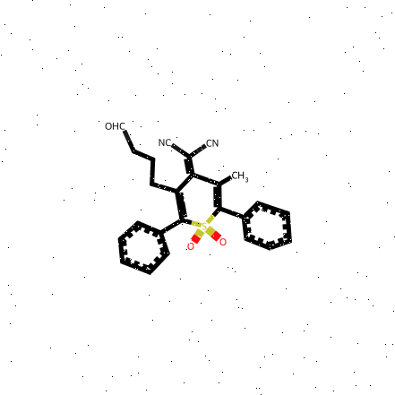 CC1=C(c2ccccc2)S(=O)(=O)C(c2ccccc2)=C(CCCC=O)C1=C(C#N)C#N